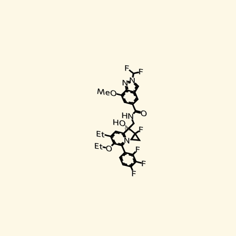 CCOc1c(CC)cc([C@@](O)(CNC(=O)c2cc(OC)c3nn(C(F)F)cc3c2)C2(F)CC2)nc1-c1ccc(F)c(F)c1F